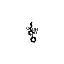 CC=CC(=O)C1(O)CCN(c2ccccc2)C1=O